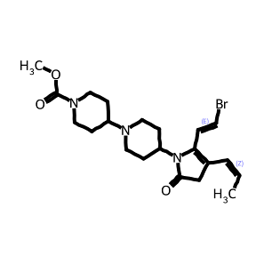 C/C=C\C1=C(/C=C/Br)N(C2CCN(C3CCN(C(=O)OC)CC3)CC2)C(=O)C1